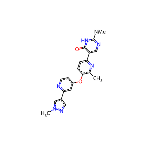 CNc1ncc(-c2ccc(Oc3ccnc(-c4cnn(C)c4)c3)c(C)n2)c(=O)[nH]1